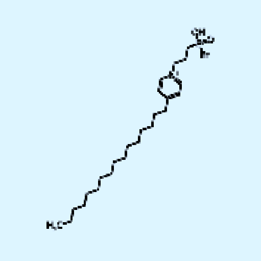 CCCCCCCCCCCCCCCCc1cc[n+](CCCP(=O)(O)Br)cc1